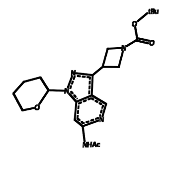 CC(=O)Nc1cc2c(cn1)c(C1CN(C(=O)OC(C)(C)C)C1)nn2C1CCCCO1